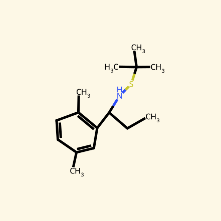 CCC(NSC(C)(C)C)c1cc(C)ccc1C